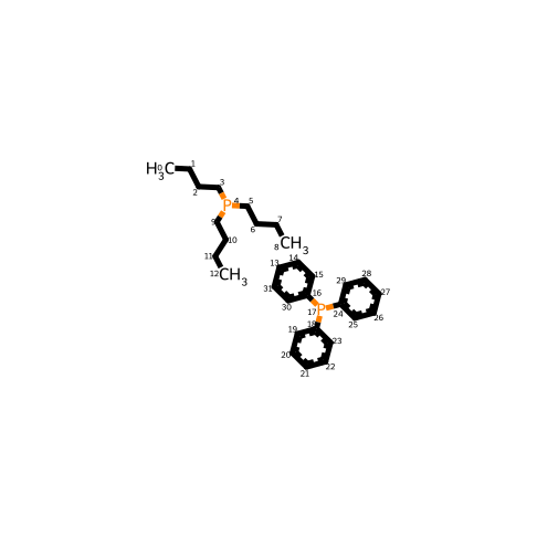 CCCCP(CCCC)CCCC.c1ccc(P(c2ccccc2)c2ccccc2)cc1